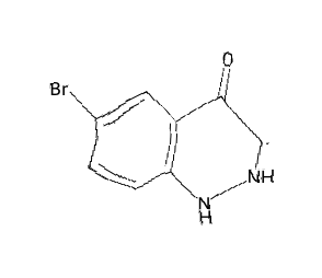 O=C1[CH]NNc2ccc(Br)cc21